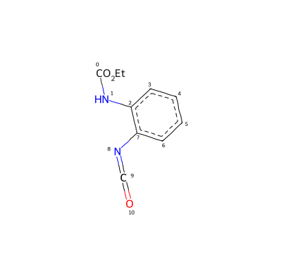 CCOC(=O)Nc1ccccc1N=C=O